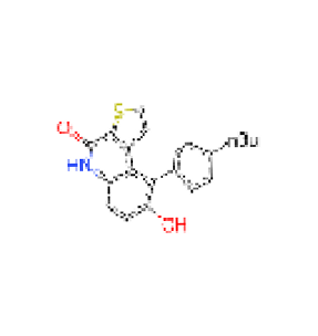 CCCCc1ccc(-c2c(O)ccc3[nH]c(=O)c4sccc4c23)cc1